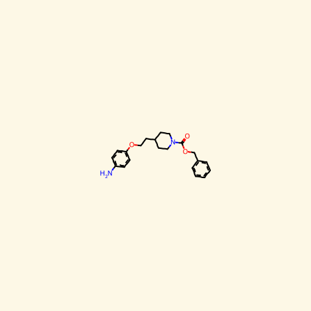 Nc1ccc(OCCC2CCN(C(=O)OCc3ccccc3)CC2)cc1